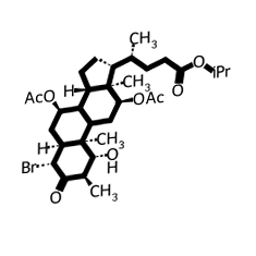 CC(=O)O[C@H]1CC2C([C@H](OC(C)=O)C[C@@H]3[C@@H](Br)C(=O)[C@H](C)[C@@H](O)[C@]23C)[C@@H]2CC[C@H]([C@H](C)CCC(=O)OC(C)C)[C@@]12C